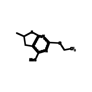 CSc1nc(OCC(F)(F)F)nc2c1CC(C)S2